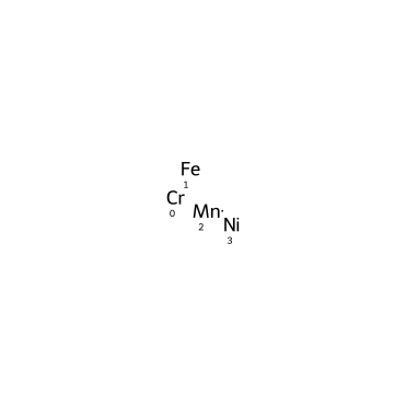 [Cr].[Fe].[Mn].[Ni]